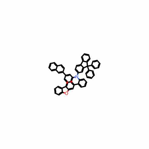 c1ccc(C2(c3ccccc3)c3ccccc3-c3ccc(N(c4cccc(-c5ccc6ccccc6c5)c4)c4ccccc4-c4ccc5c(c4)oc4ccccc45)cc32)cc1